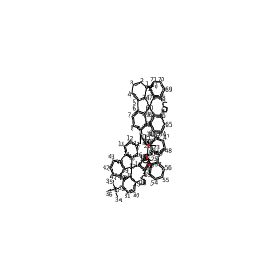 CC1C=CC=C2c3ccc(N(c4ccc5c(c4)C4(c6cc(C(C)(C)C)ccc6Sc6ccc(C(C)(C)C)cc64)c4ccccc4-5)c4cccc5c4sc4ccccc45)cc3C3(c4ccccc4Sc4ccccc43)C21